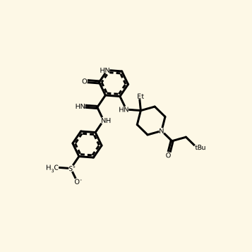 CCC1(Nc2cc[nH]c(=O)c2C(=N)Nc2ccc([S+](C)[O-])cc2)CCN(C(=O)CC(C)(C)C)CC1